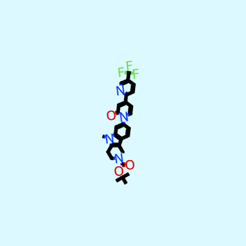 Cn1c2c(c3ccc(-n4ccc(-c5ccc(C(F)(F)F)cn5)cc4=O)cc31)CN(C(=O)OC(C)(C)C)CC2